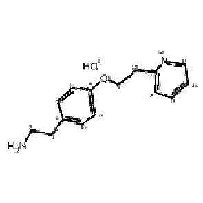 Cl.NCCc1ccc(OCCc2ccccn2)cc1